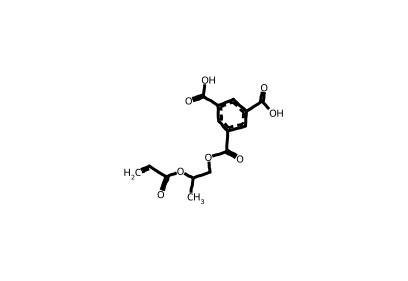 C=CC(=O)OC(C)COC(=O)c1cc(C(=O)O)cc(C(=O)O)c1